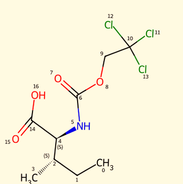 CC[C@H](C)[C@H](NC(=O)OCC(Cl)(Cl)Cl)C(=O)O